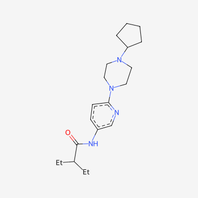 CCC(CC)C(=O)Nc1ccc(N2CCN(C3CCCC3)CC2)nc1